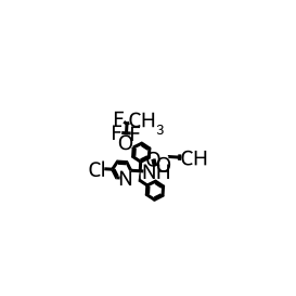 C#CCOC(=O)N[C@@](Cc1ccccc1)(c1cccc(OC(F)(F)C(C)F)c1)c1ccc(Cl)cn1